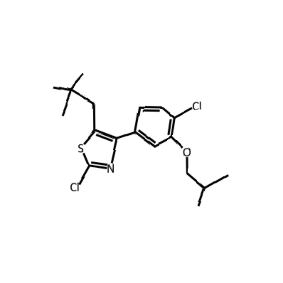 CC(C)COc1cc(-c2nc(Cl)sc2CC(C)(C)C)ccc1Cl